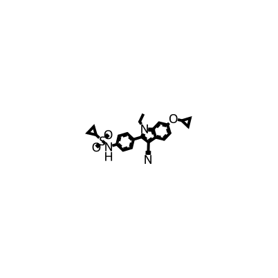 CCn1c(-c2ccc(NS(=O)(=O)C3CC3)cc2)c(C#N)c2ccc(OC3CC3)cc21